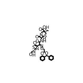 CSC1(C(=O)O)CS[C@@H]2C(NC(=O)C(=NOCC(=O)OC(c3ccccc3)c3ccccc3)c3nc(NC=O)sc3Cl)C(=O)N2C1